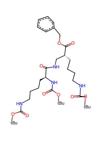 CC(C)(C)OC(=O)NCCCC[C@H](CNC(=O)[C@H](CCCCNC(=O)OC(C)(C)C)NC(=O)OC(C)(C)C)C(=O)OCc1ccccc1